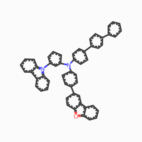 c1ccc(-c2ccc(-c3ccc(N(c4ccc(-c5ccc6oc7ccccc7c6c5)cc4)c4cccc(-n5c6ccccc6c6ccccc65)c4)cc3)cc2)cc1